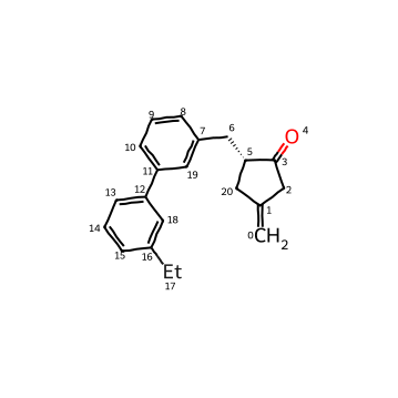 C=C1CC(=O)[C@@H](Cc2cccc(-c3cccc(CC)c3)c2)C1